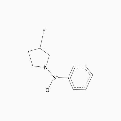 [O-][S+](c1ccccc1)N1CCC(F)C1